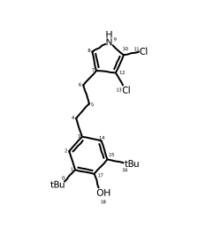 CC(C)(C)c1cc(CCCc2c[nH]c(Cl)c2Cl)cc(C(C)(C)C)c1O